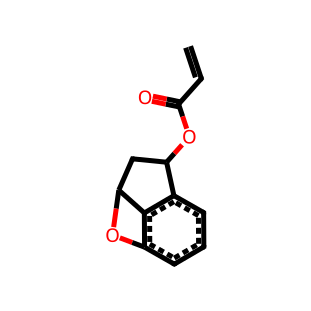 C=CC(=O)OC1CC2Oc3cccc1c32